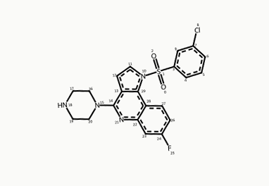 O=S(=O)(c1cccc(Cl)c1)n1ccc2c(N3CCNCC3)nc3cc(F)ccc3c21